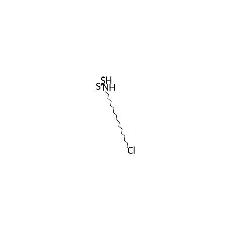 S=C(S)NCCCCCCCCCCCCCCCCCCl